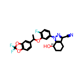 CC(Oc1cc(-n2nc(C#N)c3c2[C@H](O)CCC3)ccc1F)c1ccc2c(c1)OC(F)(F)O2